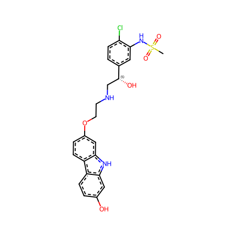 CS(=O)(=O)Nc1cc([C@H](O)CNCCOc2ccc3c(c2)[nH]c2cc(O)ccc23)ccc1Cl